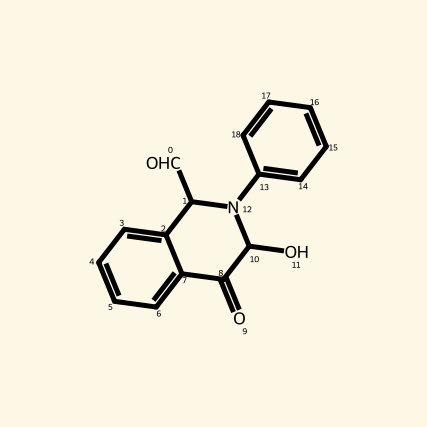 O=CC1c2ccccc2C(=O)C(O)N1c1ccccc1